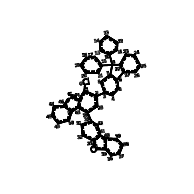 Clc1c(-c2ccc3c(c2)C(c2ccccc2)(c2ccccc2)c2ccccc2-3)cc(-c2ccc3oc4ccccc4c3c2)c2c1sc1ccccc12